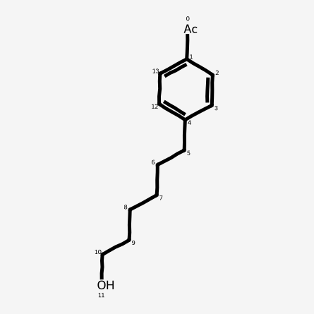 CC(=O)c1ccc(CCCCCCO)cc1